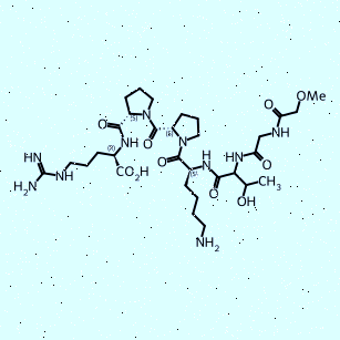 COCC(=O)NCC(=O)NC(C(=O)N[C@@H](CCCCN)C(=O)N1CCC[C@H]1C(=O)N1CCC[C@H]1C(=O)N[C@H](CCCNC(=N)N)C(=O)O)C(C)O